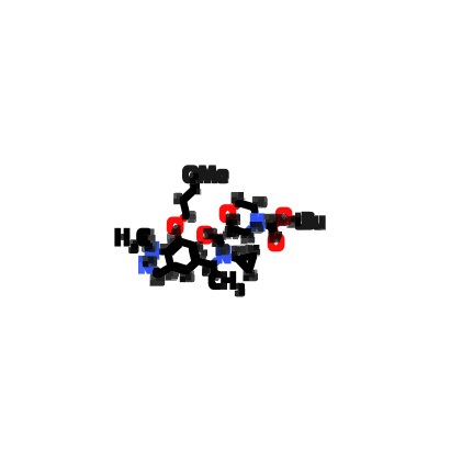 COCCCOc1cc([C@H](C)N(C(=O)[C@H]2CN(C(=O)OC(C)(C)C)CCO2)C2CC2)cc2cnn(C)c12